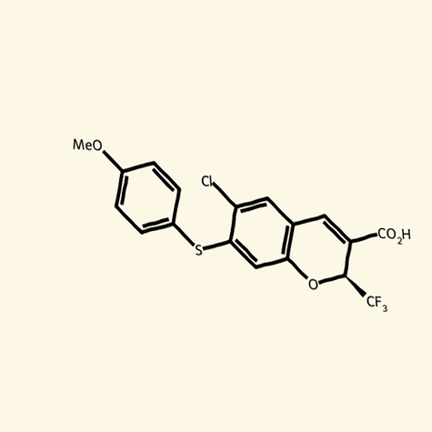 COc1ccc(Sc2cc3c(cc2Cl)C=C(C(=O)O)[C@@H](C(F)(F)F)O3)cc1